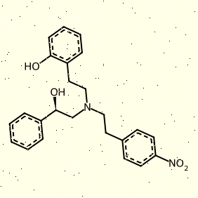 O=[N+]([O-])c1ccc(CCN(CCc2ccccc2O)C[C@H](O)c2ccccc2)cc1